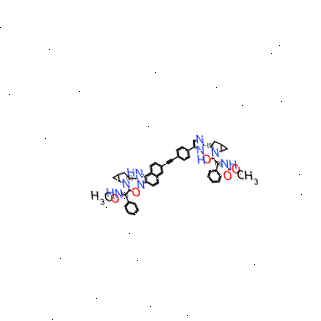 CON[C@@H](C(=O)N1C2CC2C[C@H]1c1nc2ccc3cc(C#Cc4ccc(-c5cnc([C@@H]6CC7CC7N6C(=O)[C@H](NC(=O)OC)c6ccccc6)[nH]5)cc4)ccc3c2[nH]1)c1ccccc1